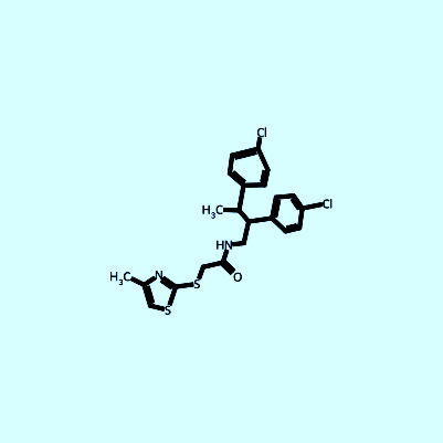 Cc1csc(SCC(=O)NCC(c2ccc(Cl)cc2)C(C)c2ccc(Cl)cc2)n1